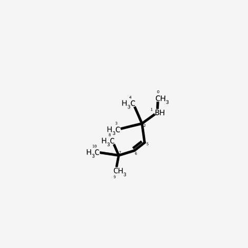 CBC(C)(C)/C=C\C(C)(C)C